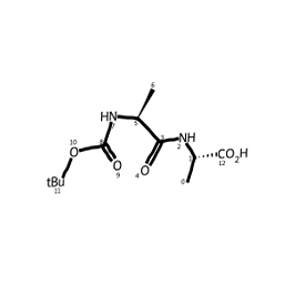 C[C@H](NC(=O)[C@H](C)NC(=O)OC(C)(C)C)C(=O)O